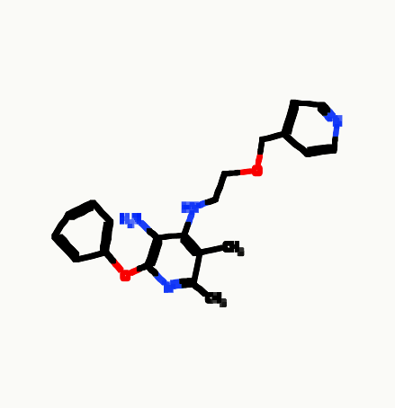 Cc1nc(Oc2ccccc2)c(N)c(NCCOCc2ccncc2)c1C